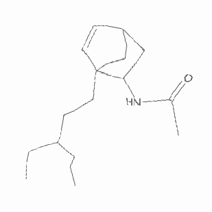 CCC(CC)CCC12C=CC(CC1NC(C)=O)C2